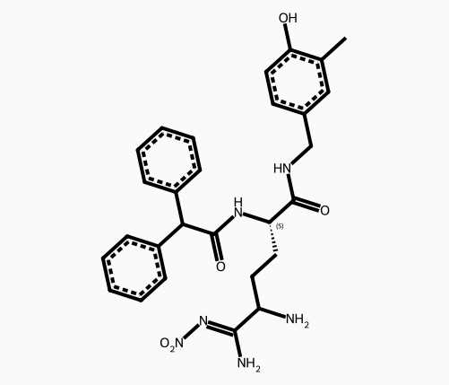 Cc1cc(CNC(=O)[C@H](CCC(N)C(N)=N[N+](=O)[O-])NC(=O)C(c2ccccc2)c2ccccc2)ccc1O